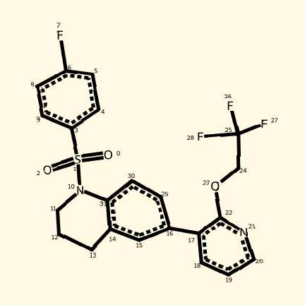 O=S(=O)(c1ccc(F)cc1)N1CCCc2cc(-c3cccnc3OCC(F)(F)F)ccc21